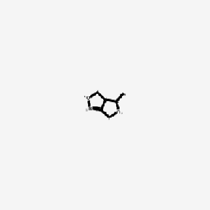 CC1OCC2=NOCC21